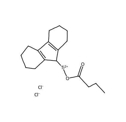 CCCC(=O)[O][Ti+2][CH]1C2=C(CCCC2)C2=C1CCCC2.[Cl-].[Cl-]